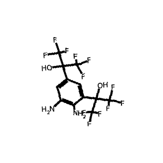 Nc1cc(C(O)(C(F)(F)F)C(F)(F)F)cc(C(O)(C(F)(F)F)C(F)(F)F)c1N